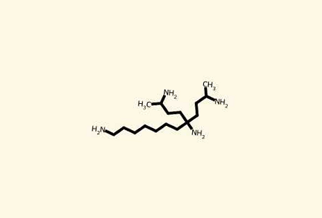 CC(N)CCC(N)(CCCCCCCN)CCC(C)N